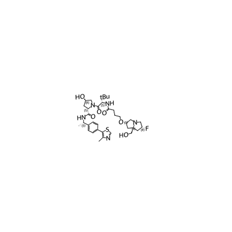 Cc1ncsc1-c1ccc([C@H](C)NC(=O)[C@@H]2C[C@@H](O)CN2C(=O)[C@@H](NC(=O)CCCO[C@@H]2CN3C[C@H](F)C[C@]3(CO)C2)C(C)(C)C)cc1